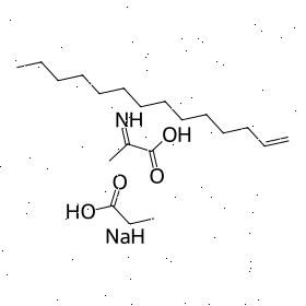 C=CCCCCCCCCCCCC.CC(=N)C(=O)O.CCC(=O)O.[NaH]